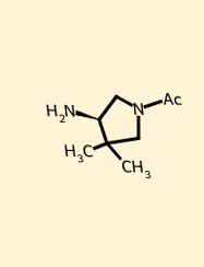 CC(=O)N1C[C@H](N)C(C)(C)C1